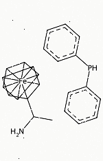 CC(N)[C]12[CH]3[CH]4[CH]5[CH]1[Fe]45321678[CH]2[CH]1[CH]6[CH]7[CH]28.c1ccc(Pc2ccccc2)cc1